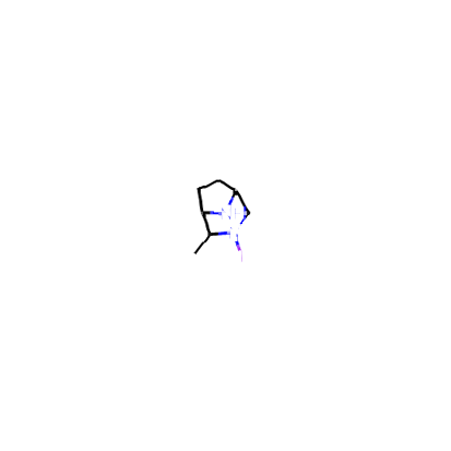 CC1C2CCC(CN1I)N2